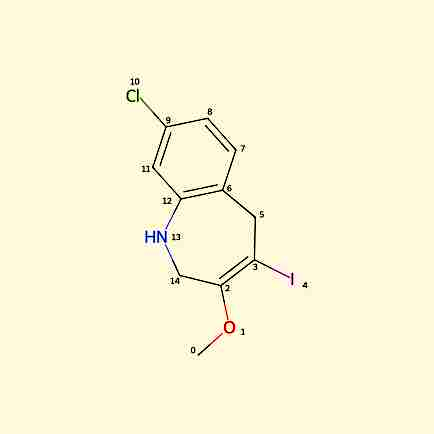 COC1=C(I)Cc2ccc(Cl)cc2NC1